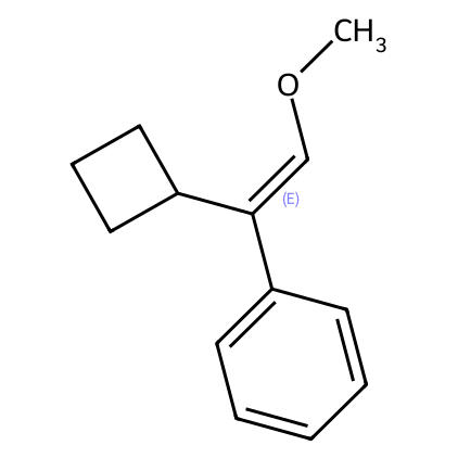 CO/C=C(/c1ccccc1)C1CCC1